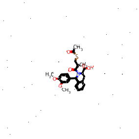 COc1ccc(C2c3ccccc3CC(C(=O)O)N2C(=O)C(C)CSC(C)=O)cc1OC